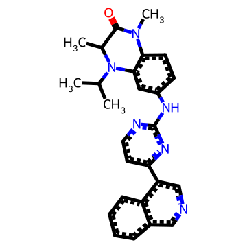 CC(C)N1c2cc(Nc3nccc(-c4cncc5ccccc45)n3)ccc2N(C)C(=O)C1C